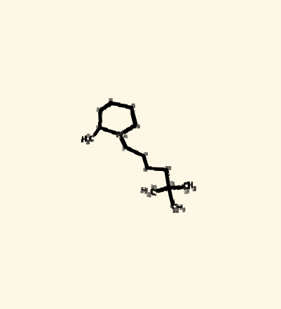 CC1CCCCN1CCCCC(C)(C)C